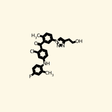 Cc1cc(F)ccc1Nc1ccc(C(=O)c2cc(-n3cc(CCO)nn3)ccc2C)c(Cl)c1